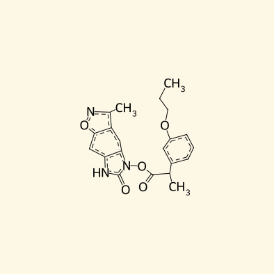 CCCOc1cccc(C(C)C(=O)On2c(=O)[nH]c3cc4onc(C)c4cc32)c1